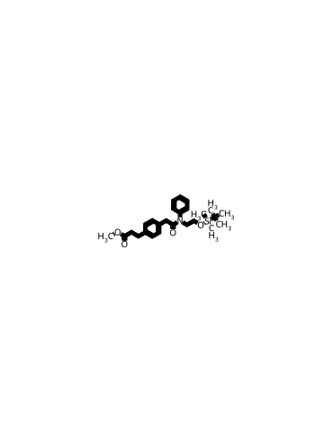 COC(=O)CCc1ccc(CC(=O)N(CCO[Si](C)(C)C(C)(C)C)c2ccccc2)cc1